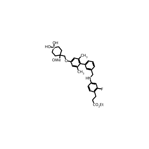 CCOC(=O)CCc1ccc(NCc2cccc(-c3c(C)cc(OCC4(OC)CCS(O)(O)CC4)cc3C)c2)cc1F